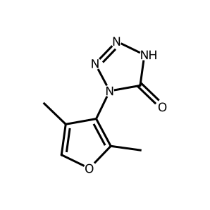 Cc1coc(C)c1-n1nn[nH]c1=O